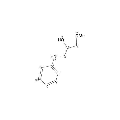 COCC(O)CNc1cccnc1